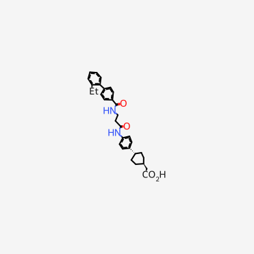 CCc1ccccc1-c1ccc(C(=O)NCCC(=O)Nc2ccc([C@H]3CC[C@H](CC(=O)O)CC3)cc2)cc1